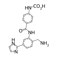 NCc1ccc(-c2ncc[nH]2)cc1NC(=O)c1ccc(NC(=O)O)cc1